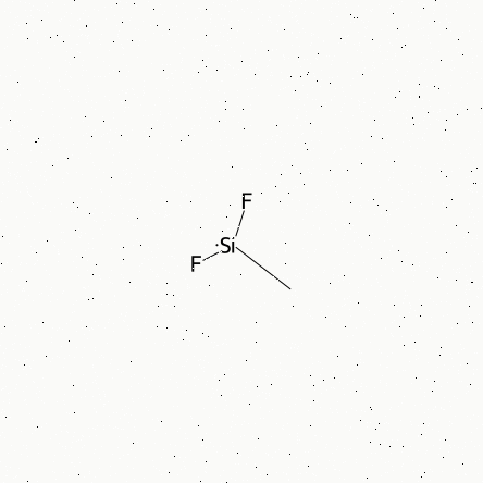 C[Si](F)F